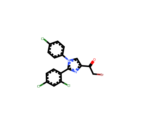 O=C(CBr)c1cn(-c2ccc(Cl)cc2)c(-c2ccc(Cl)cc2Cl)n1